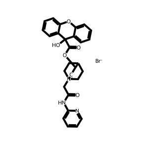 O=C(C[N+]12CCC(CC1)C(OC(=O)C1(O)c3ccccc3Oc3ccccc31)C2)Nc1ccccn1.[Br-]